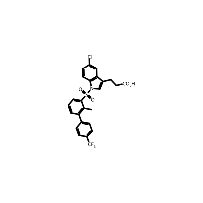 Cc1c(-c2ccc(C(F)(F)F)cc2)cccc1S(=O)(=O)n1cc(CCC(=O)O)c2cc(Cl)ccc21